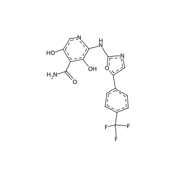 NC(=O)c1c(O)cnc(Nc2ncc(-c3ccc(C(F)(F)F)cc3)o2)c1O